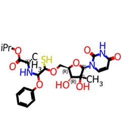 CC(C)OC(=O)[C@H](C)NC(Oc1ccccc1)C(S)OC[C@H]1O[C@@H](n2ccc(=O)[nH]c2=O)[C@](C)(O)[C@@H]1O